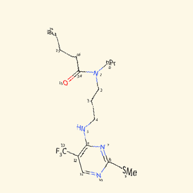 CCCN(CCCNc1nc(SC)ncc1C(F)(F)F)C(=O)CCC(C)CC